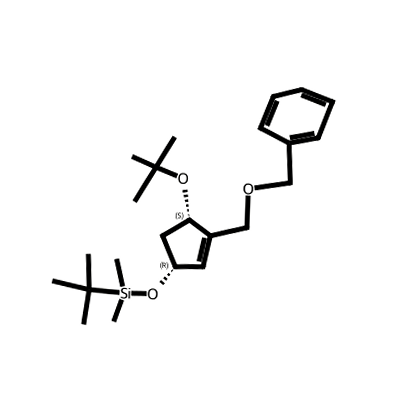 CC(C)(C)O[C@H]1C[C@@H](O[Si](C)(C)C(C)(C)C)C=C1COCc1ccccc1